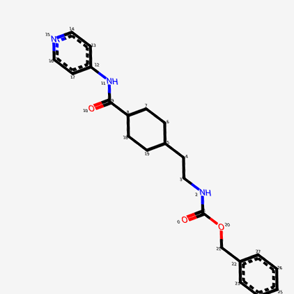 O=C(NCCC1CCC(C(=O)Nc2ccncc2)CC1)OCc1ccccc1